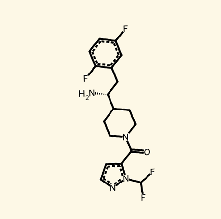 N[C@H](Cc1cc(F)ccc1F)C1CCN(C(=O)c2ccnn2C(F)F)CC1